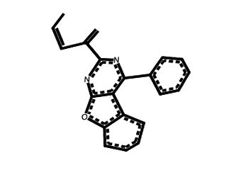 C=C(/C=C\C)c1nc(-c2ccccc2)c2c(n1)oc1ccccc12